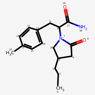 CCCC1CC(=O)N(C(Cc2ccc(C)cc2)C(N)=O)C1